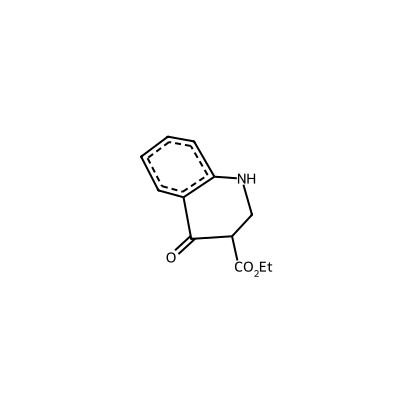 CCOC(=O)C1CNc2ccccc2C1=O